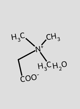 C[N+](C)(C)CC(=O)[O-].O